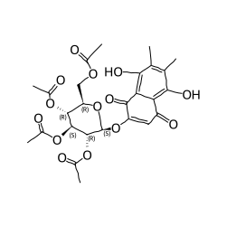 CC(=O)OC[C@H]1O[C@@H](OC2=CC(=O)c3c(O)c(C)c(C)c(O)c3C2=O)[C@H](OC(C)=O)[C@@H](OC(C)=O)[C@@H]1OC(C)=O